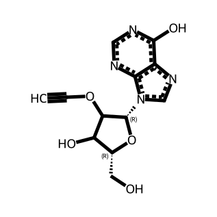 C#COC1C(O)[C@@H](CO)O[C@H]1n1cnc2c(O)ncnc21